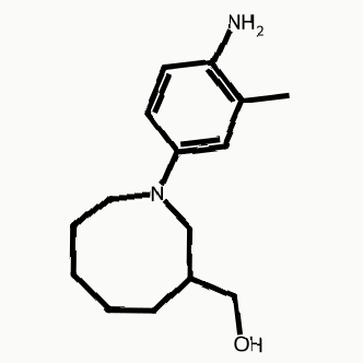 Cc1cc(N2CCCCCC(CO)C2)ccc1N